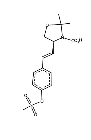 CC1(C)OC[C@H](C=Cc2ccc(OS(C)(=O)=O)cc2)N1C(=O)O